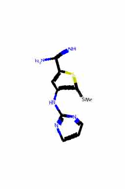 CSc1sc(C(=N)N)cc1Nc1ncccn1